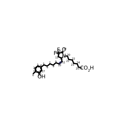 Cc1ccc(CCCCC/C=C\C2CC(F)(F)C(=O)N2CCCCCCC(=O)O)cc1O